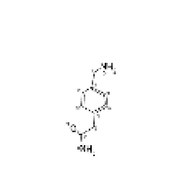 NCC1=C=C=C(CC(N)=O)C=C1